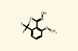 COc1cccc(C(F)(F)F)c1C(Cl)=NO